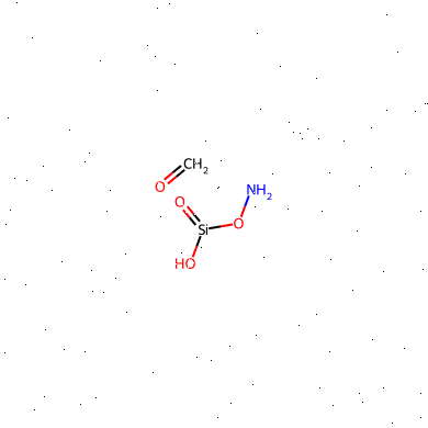 C=O.NO[Si](=O)O